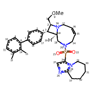 COC[C@@H]1[C@@H](c2ccc(-c3cccc(C)c3C)cc2)[C@@H]2CN(S(=O)(=O)c3cnc4n3CCCCC4)C/C=C\CN12